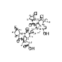 COc1cc2c(C(C)C(=O)O)c(C)n(C(=O)c3ccc(Cl)s3)c2cc1Cl.COc1cc2c(CC(=O)O)c(C)n(C(=O)c3ccc(F)cc3)c2cc1Cl